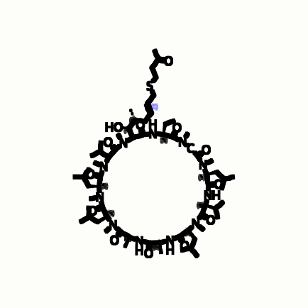 CC[C@@H]1NC(=O)C([C@H](O)[C@H](C)C/C=C/CSCCC(C)=O)N(C)C(=O)C(C(C)C)N(C)C(=O)[C@H](CC(C)C)N(C)C(=O)[C@H](CC(C)C)N(C)C(=O)[C@H](C)NC(=O)[C@H](C)NC(=O)[C@H](CC(C)C)N(C)C(=O)[C@H](C(C)C)NC(=O)[C@H](CC(C)C)N(C)C(=O)CN(C)C1=O